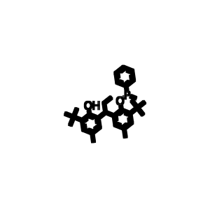 CCC(c1cc(C)cc(C(C)(C)C)c1O)c1cc(C)cc(C(C)(C)C)c1OP(C)c1ccccc1